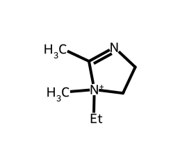 CC[N+]1(C)CCN=C1C